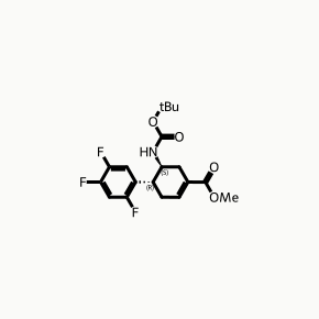 COC(=O)C1=CC[C@H](c2cc(F)c(F)cc2F)[C@@H](NC(=O)OC(C)(C)C)C1